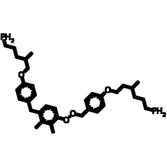 Cc1c(Cc2ccc(OCC(C)CCCP)cc2)ccc(OOCc2ccc(OCCC(C)CCCP)cc2)c1C